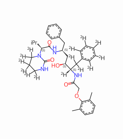 [2H]c1c([2H])c([2H])c(C([2H])([2H])[C@]([2H])(NC(=O)COc2c(C)cccc2C)[C@@H](O)C[C@H](Cc2ccccc2)NC(=O)[C@H](C(C)C)N2C(=O)NC([2H])([2H])C([2H])([2H])C2([2H])[2H])c([2H])c1[2H]